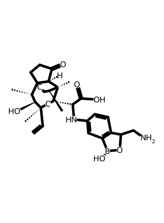 C=C[C@]1(C)C[C@@H](C(Nc2ccc3c(c2)B(O)OC3CN)C(=O)O)[C@@]2(C)[C@H](C)CC[C@]3(CCC(=O)[C@H]32)[C@@H](C)[C@@H]1O